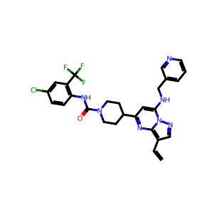 C=Cc1cnn2c(NCc3cccnc3)cc(C3CCN(C(=O)Nc4ccc(Cl)cc4C(F)(F)F)CC3)nc12